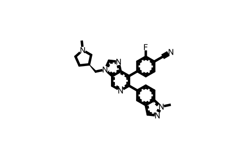 CN1CC[C@H](Cn2cnc3c(-c4ccc(C#N)c(F)c4)c(-c4ccc5c(cnn5C)c4)ncc32)C1